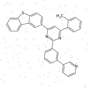 Cc1ccccc1-c1cc(-c2ccc3sc4ccccc4c3c2)nc(-c2cccc(-c3cccnc3)c2)n1